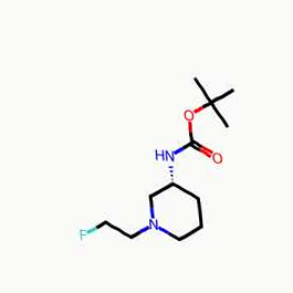 CC(C)(C)OC(=O)N[C@@H]1CCCN(CCF)C1